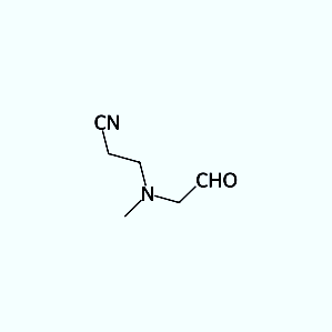 CN(CC=O)CCC#N